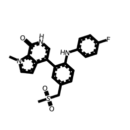 Cn1ccc2c(-c3cc(CS(C)(=O)=O)ccc3Nc3ccc(F)cc3)c[nH]c(=O)c21